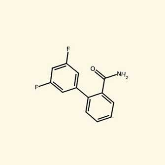 NC(=O)c1c[c]ccc1-c1cc(F)cc(F)c1